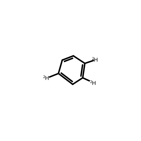 [2H]c1ccc([2H])c([2H])c1